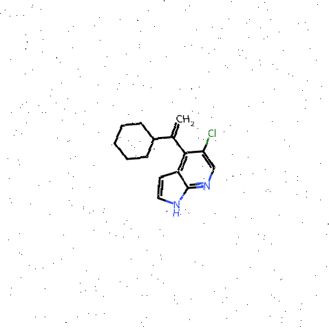 C=C(c1c(Cl)cnc2[nH]ccc12)C1CCCCC1